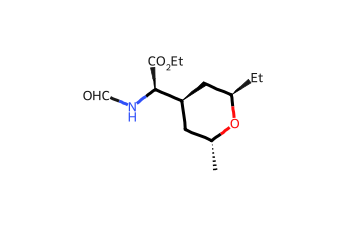 CCOC(=O)[C@H](NC=O)[C@H]1C[C@@H](CC)O[C@H](C)C1